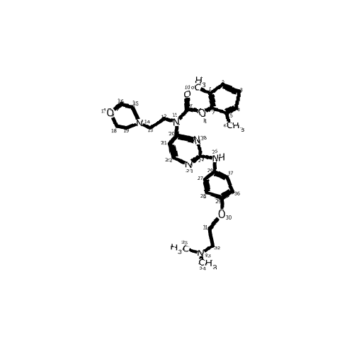 Cc1cccc(C)c1OC(=O)N(CCN1CCOCC1)c1ccnc(Nc2ccc(OCCN(C)C)cc2)n1